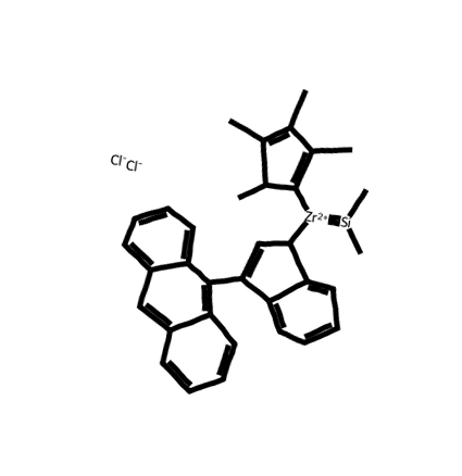 CC1=C(C)C(C)[C]([Zr+2]([CH]2C=C(c3c4ccccc4cc4ccccc34)c3ccccc32)=[Si](C)C)=C1C.[Cl-].[Cl-]